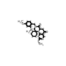 COc1ccc(CN2CC3(CCCCC3)N3c4nc(SC)ncc4C(=O)CC3C2=O)c(OC)c1